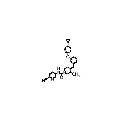 CC1CN(C(=O)Nc2ccc(C#N)nc2)CCC1=Cc1cccc(Oc2ccc(C3CC3)cn2)c1